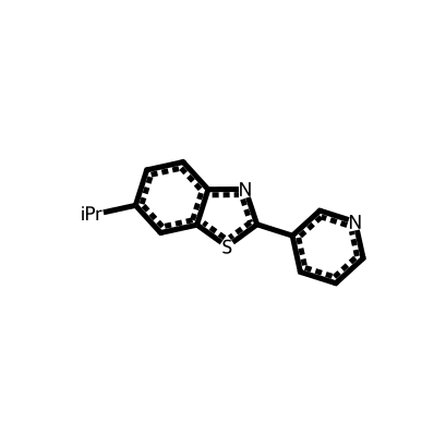 CC(C)c1ccc2nc(-c3cccnc3)sc2c1